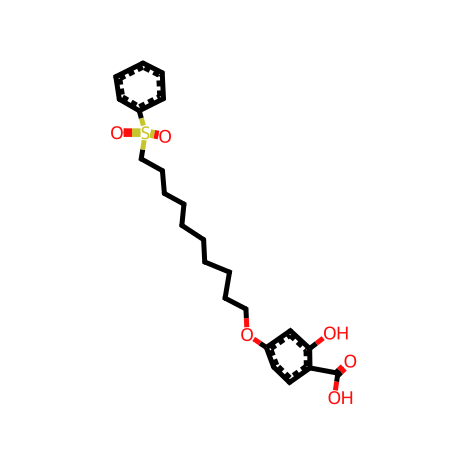 O=C(O)c1ccc(OCCCCCCCCCCS(=O)(=O)c2ccccc2)cc1O